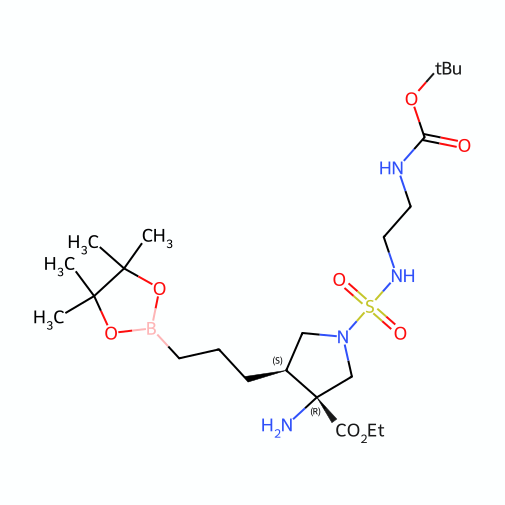 CCOC(=O)[C@]1(N)CN(S(=O)(=O)NCCNC(=O)OC(C)(C)C)C[C@@H]1CCCB1OC(C)(C)C(C)(C)O1